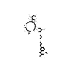 CC[C@H]1OC(=O)[C@H](C)[C@@H](O[C@H]2C[C@@](C)(OC)[C@@H](OCCCOCC=Cc3ccc4c(c3)c(=O)c(C(=O)O)cn4CC)[C@H](C)O2)[C@H](C)[C@@H](O[C@@H]2O[C@H](C)C[C@H](N(C)C)[C@H]2O)[C@](C)(O)C[C@@H](C)CN(C)[C@H](C)[C@@H](O)[C@]1(C)O